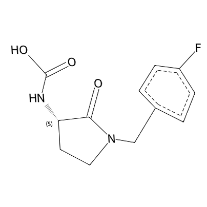 O=C(O)N[C@H]1CCN(Cc2ccc(F)cc2)C1=O